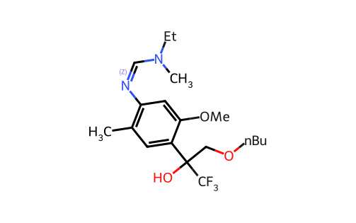 CCCCOCC(O)(c1cc(C)c(/N=C\N(C)CC)cc1OC)C(F)(F)F